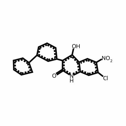 O=c1[nH]c2cc(Cl)c([N+](=O)[O-])cc2c(O)c1-c1cccc(-c2ccccc2)c1